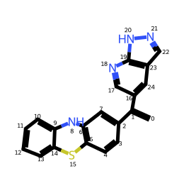 C=C(c1ccc2c(c1)Nc1ccccc1S2)c1cnc2[nH]ncc2c1